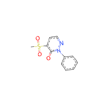 CS(=O)(=O)c1ccnn(-c2ccccc2)c1=O